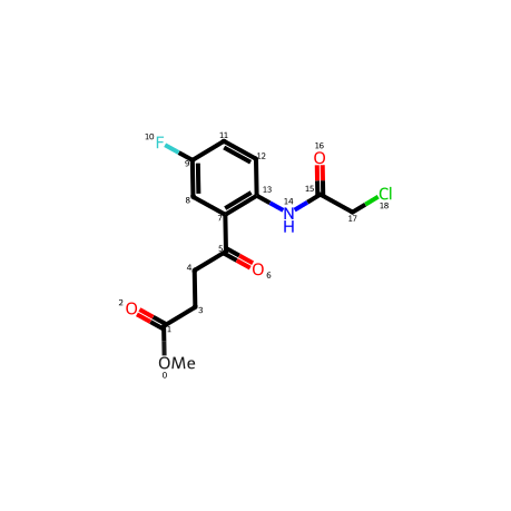 COC(=O)CCC(=O)c1cc(F)ccc1NC(=O)CCl